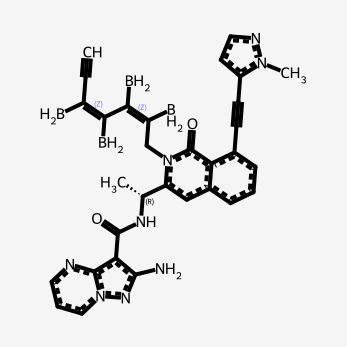 B/C(C#C)=C(B)/C(B)=C(/B)Cn1c([C@@H](C)NC(=O)c2c(N)nn3cccnc23)cc2cccc(C#Cc3ccnn3C)c2c1=O